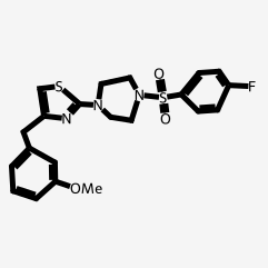 COc1cccc(Cc2csc(N3CCN(S(=O)(=O)c4ccc(F)cc4)CC3)n2)c1